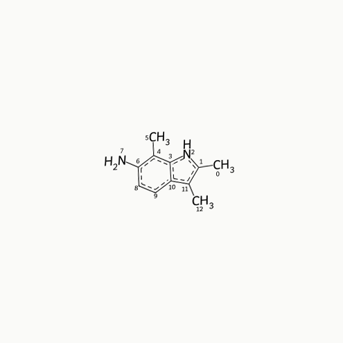 Cc1[nH]c2c(C)c(N)ccc2c1C